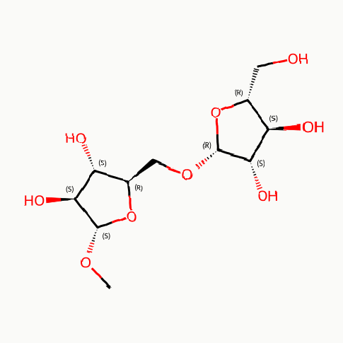 CO[C@H]1O[C@H](CO[C@@H]2O[C@H](CO)[C@@H](O)[C@@H]2O)[C@@H](O)[C@@H]1O